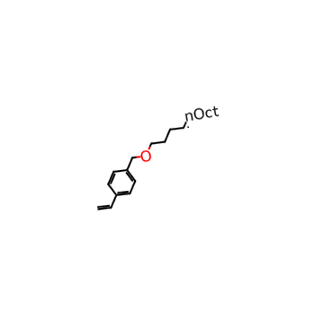 C=Cc1ccc(COCCC[CH]CCCCCCCC)cc1